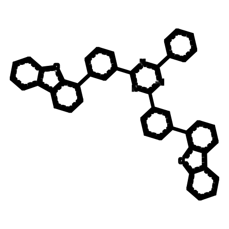 c1ccc(-c2nc(-c3cccc(-c4cccc5c4oc4ccccc45)c3)nc(-c3cccc(-c4cccc5c4oc4ccccc45)c3)n2)cc1